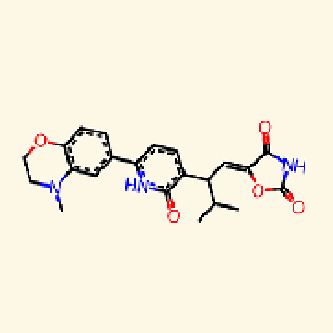 CC(C)C(C=C1OC(=O)NC1=O)c1ccc(-c2ccc3c(c2)N(C)CCO3)[nH]c1=O